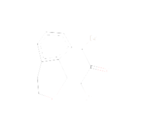 O=C(CBr)CBr.c1ccc2c(c1)CCOC2